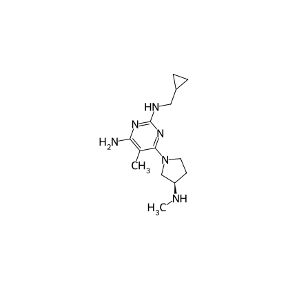 CN[C@@H]1CCN(c2nc(NCC3CC3)nc(N)c2C)C1